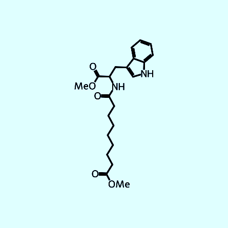 COC(=O)CCCCCCCC(=O)NC(Cc1c[nH]c2ccccc12)C(=O)OC